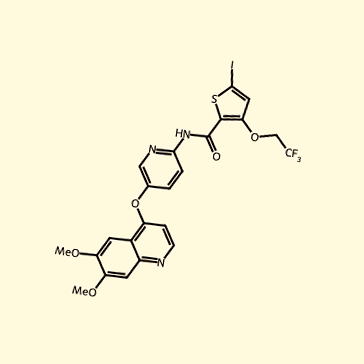 COc1cc2nccc(Oc3ccc(NC(=O)c4sc(I)cc4OCC(F)(F)F)nc3)c2cc1OC